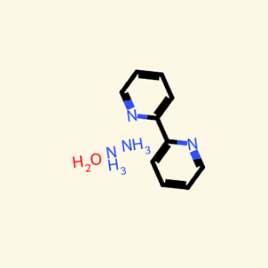 N.N.O.c1ccc(-c2ccccn2)nc1